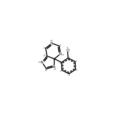 Clc1ccccc1C12N=CN=CC1=NC=N2